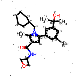 Cc1c(C(=O)NC2COC2)cc(-c2cc(C(C)(C)C)cc(C(C)(C)O)c2)n1CC1CCCCC1